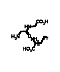 CC(C)C[C@H](N)C(=O)O.NCC(=O)NCC(=O)O